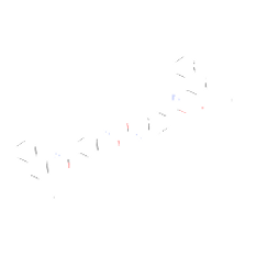 O=C(Nc1ccc(C(=O)Nc2c(O)c(S(=O)(=O)O)cc3ccccc23)cc1)C(=O)Nc1ccc(C(=O)Nc2c(O)c(S(=O)(=O)O)cc3ccccc23)cc1